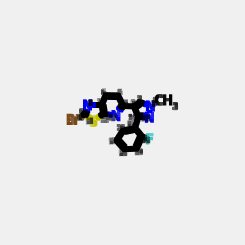 Cn1cc(-c2ccc3nc(Br)sc3n2)c(-c2ccccc2F)n1